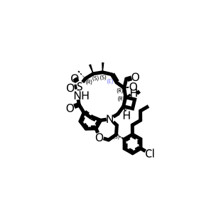 CCCCc1cc(Cl)ccc1[C@@H]1COc2ccc3cc2N(C1)C[C@@H]1CC[C@H]1[C@@](C=O)(OC)/C=C/[C@H](C)[C@H](C)[C@@H](C)S(=O)(=O)NC3=O